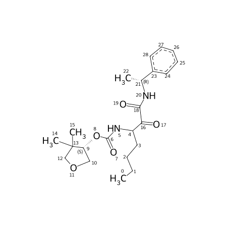 CCCCC(NC(=O)O[C@@H]1COCC1(C)C)C(=O)C(=O)N[C@H](C)c1ccccc1